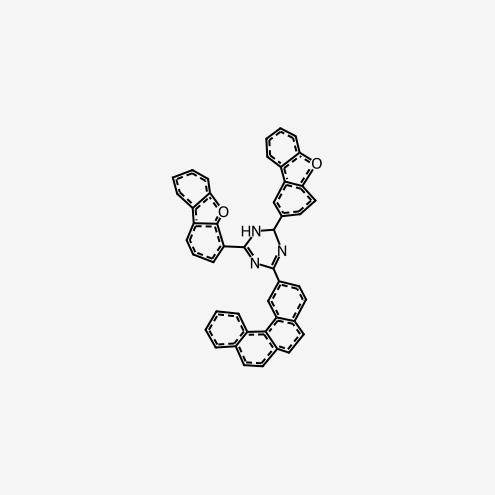 c1ccc2c(c1)ccc1ccc3ccc(C4=NC(c5ccc6oc7ccccc7c6c5)NC(c5cccc6c5oc5ccccc56)=N4)cc3c12